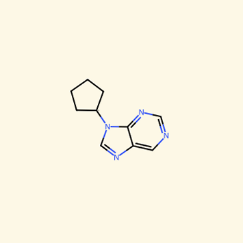 c1ncc2ncn([C]3CCCC3)c2n1